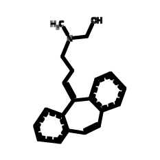 CN(CO)CCC=C1c2ccccc2C=Cc2ccccc21